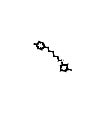 Cc1ccc(CCCCCCSc2cccc(C)c2)cc1